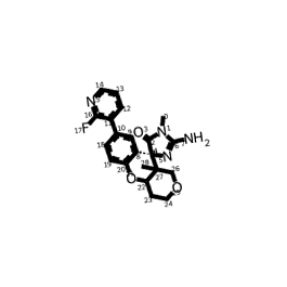 CN1C(=O)[C@]2(N=C1N)c1cc(-c3cccnc3F)ccc1OC1CCOCC12C